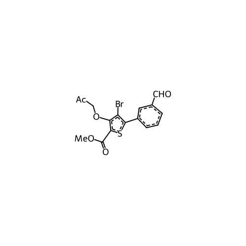 COC(=O)c1sc(-c2cccc(C=O)c2)c(Br)c1OCC(C)=O